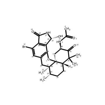 CC(=O)N[C@@H]1C[C@@]23Oc4c(cc(Br)c5c4[C@@H](O)NC5=O)C[C@]2(C)[C@@H](C)CC[C@H]3C(C)(C)C1=O